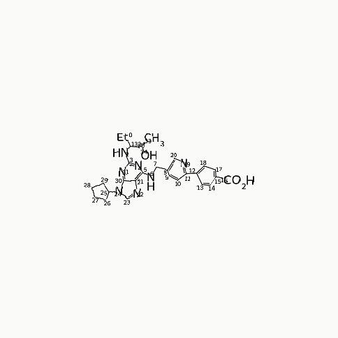 CCC(Nc1nc(NCc2ccc(-c3ccc(C(=O)O)cc3)nc2)c2ncn(C3CCCC3)c2n1)[C@@H](C)O